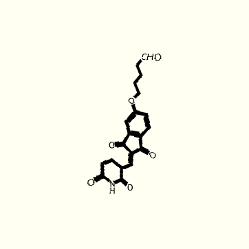 O=CCCCCOc1ccc2c(c1)C(=O)/C(=C\C1CCC(=O)NC1=O)C2=O